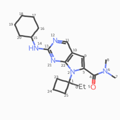 CCC1(n2c(C(=O)N(C)C)cc3cnc(NC4CCCCC4)nc32)CCC1